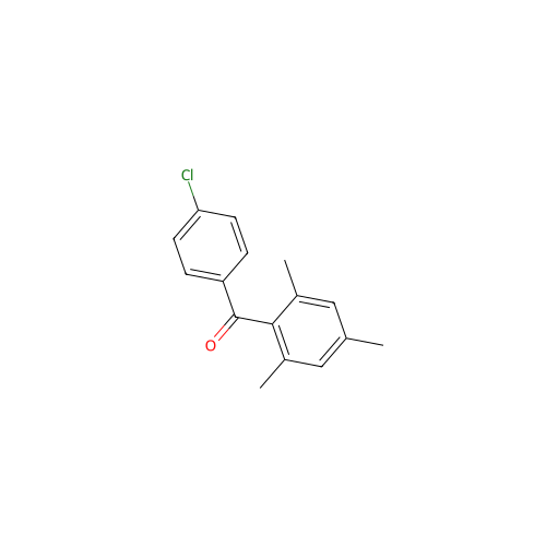 Cc1cc(C)c(C(=O)c2ccc(Cl)cc2)c(C)c1